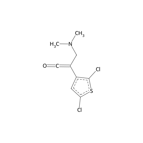 CN(C)CC(=C=O)c1cc(Cl)sc1Cl